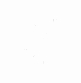 CCOC(=O)C1CC(CP(=O)(OCC)OCC)CCN1